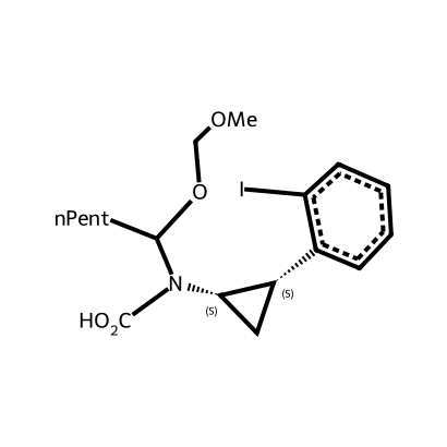 CCCCCC(OCOC)N(C(=O)O)[C@H]1C[C@H]1c1ccccc1I